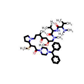 COC(CC(=O)C(C)CCN1CCCC1C(CC(=O)N1CCN(C(c2ccccc2)c2ccccc2)CC1)SC)CN(C)C(=O)C(NC(=O)C(C(C)C)N(C)C)C(C)C